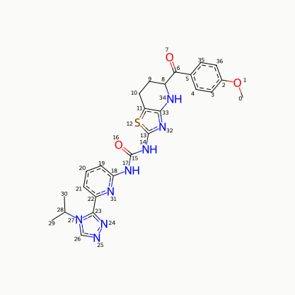 COc1ccc(C(=O)C2CCc3sc(NC(=O)Nc4cccc(-c5nncn5C(C)C)n4)nc3N2)cc1